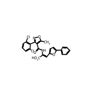 Cc1onc(-c2c(Cl)cccc2Cl)c1C(=O)N/C(=C\c1ccc(-c2ccccc2)o1)C(=O)O